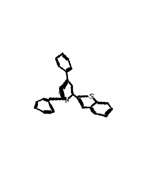 c1ccc(-c2cc(-c3ccccc3)nc(-c3cc4ccccc4s3)c2)cc1